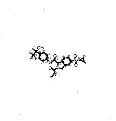 CNC(=O)N1Cc2cc(S(=O)(=O)C3CC3)ccc2C1C(=O)Nc1ccc(C(C)(O)C(F)(F)F)cc1